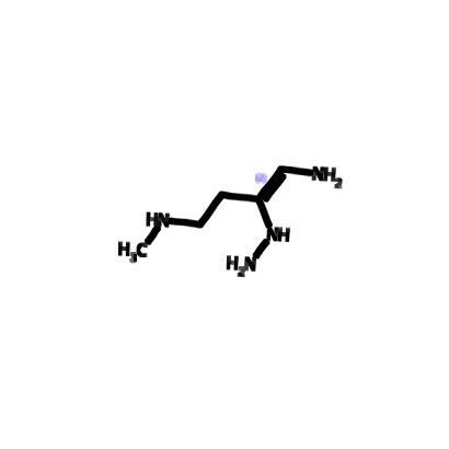 CNCC/C(=C/N)NN